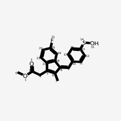 COC(=O)CC1=C(C)/C(=C/c2ccc(SO)cc2)c2cc(F)ccc21